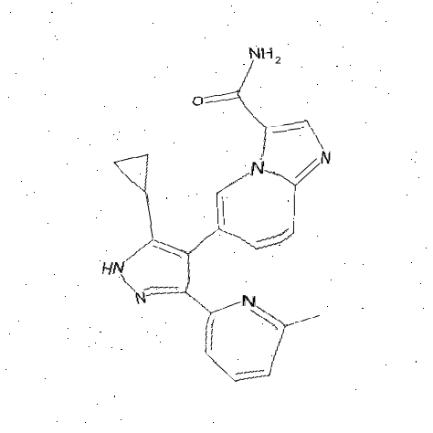 Cc1cccc(-c2n[nH]c(C3CC3)c2-c2ccc3ncc(C(N)=O)n3c2)n1